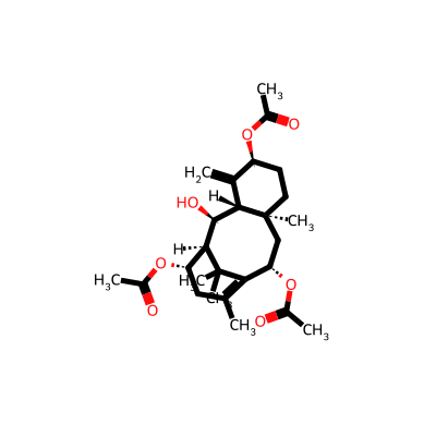 C=C1[C@@H](OC(C)=O)CC[C@@]2(C)C[C@H](OC(C)=O)C3=C(C)C[C@H](OC(C)=O)[C@@H]([C@@H](O)[C@H]12)C3(C)C